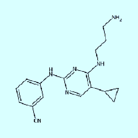 N#Cc1cccc(Nc2ncc(C3CC3)c(NCCCN)n2)c1